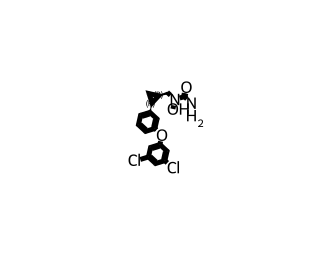 NC(=O)N(O)C[C@@H]1C[C@H]1c1cccc(Oc2cc(Cl)cc(Cl)c2)c1